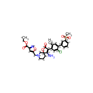 CCOC(=O)c1cc(CN2CCCC3(C2)OC(=O)C(c2cc(Cl)c(-c4cccc(S(C)(=O)=O)c4)cc2C)=C3N)on1